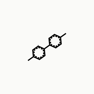 Cc1c[c]c(-c2ccc(C)cc2)cc1